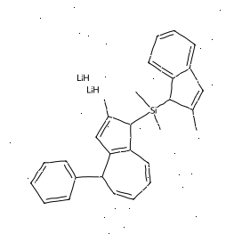 CC1=CC2=C(C=CC=CC2c2ccccc2)C1[Si](C)(C)C1C(C)=Cc2ccccc21.[LiH].[LiH]